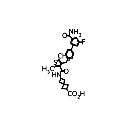 Cc1sc(C)c(C(=O)NC2CC3(C2)CC(C(=O)O)C3)c1Cc1ccc(-c2cc(F)cc(C(N)=O)c2)cc1